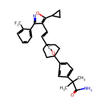 CC(C)(C(N)=O)c1ccc(C23CCC(C=Cc4c(-c5ccccc5C(F)(F)F)noc4C4CC4)(CC2)CO3)cc1